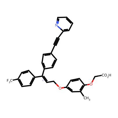 Cc1cc(OC/C=C(\c2ccc(C#Cc3ccccn3)cc2)c2ccc(C(F)(F)F)cc2)ccc1OCC(=O)O